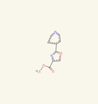 COC(=O)c1coc(-c2ccncc2)n1